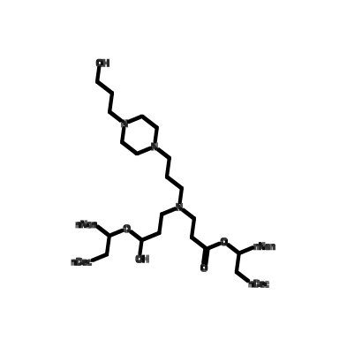 CCCCCCCCCCCC(CCCCCCCCC)OC(=O)CCN(CCCN1CCN(CCCO)CC1)CCC(O)OC(CCCCCCCCC)CCCCCCCCCCC